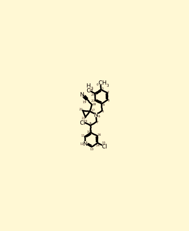 Cc1ccc(CN(CC(Cl)c2cncc(Cl)c2)C2(CC#N)CC2)cc1C